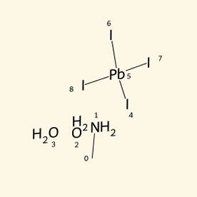 CN.O.O.[I][Pb]([I])([I])[I]